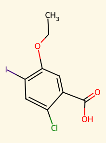 CCOc1cc(C(=O)O)c(Cl)cc1I